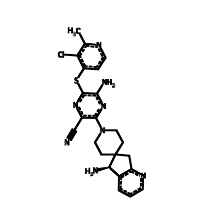 Cc1nccc(Sc2nc(C#N)c(N3CCC4(CC3)Cc3ncccc3[C@H]4N)nc2N)c1Cl